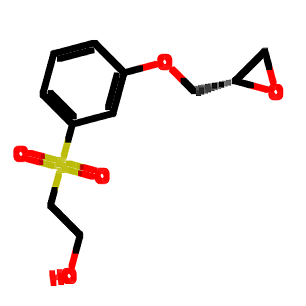 O=S(=O)(CCO)c1cccc(OC[C@@H]2CO2)c1